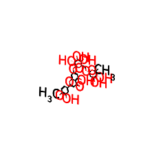 COc1ccc(-c2cc(=O)c3c(O)cc(O[C@@H]4O[C@H](CO[C@H]5CC(O)[C@@H](O)[C@H](C)O5)[C@H](O)[C@H](O)[C@H]4O)cc3o2)cc1O